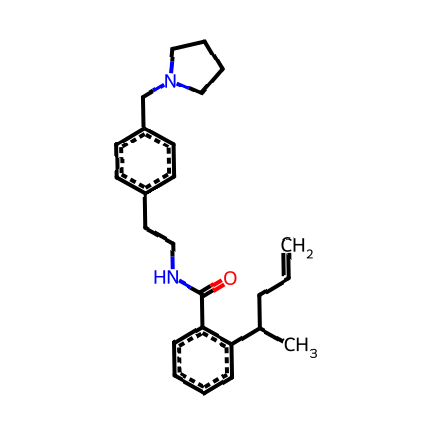 C=CCC(C)c1ccccc1C(=O)NCCc1ccc(CN2CCCC2)cc1